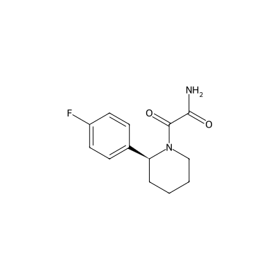 NC(=O)C(=O)N1CCCC[C@H]1c1ccc(F)cc1